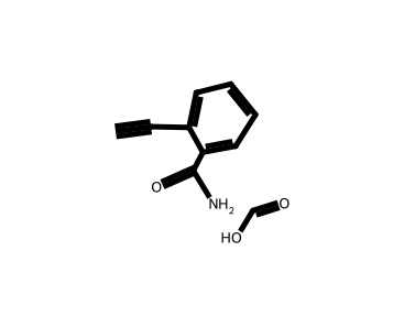 C#Cc1ccccc1C(N)=O.O=CO